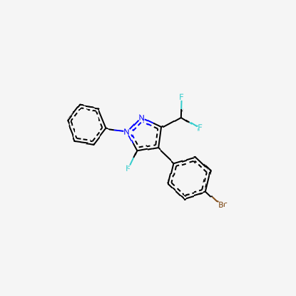 Fc1c(-c2ccc(Br)cc2)c(C(F)F)nn1-c1ccccc1